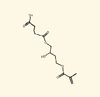 C=C(C)C(=O)OCCC(O)COC(=O)CCC(=O)O